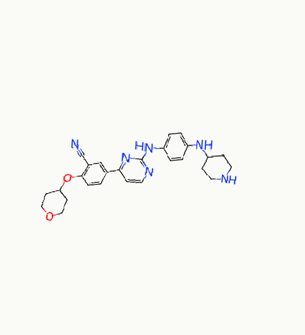 N#Cc1cc(-c2ccnc(Nc3ccc(NC4CCNCC4)cc3)n2)ccc1OC1CCOCC1